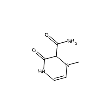 CN1C=CNC(=O)C1C(N)=O